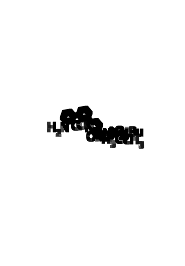 COc1nc(-c2cccc(-c3cccc(N)c3Cl)c2Cl)ccc1CN1CC(O[Si](C)(C)C(C)(C)C)C1